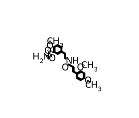 COc1ccc(C=CC(=O)NCCc2ccc(OC)c(S(N)(=O)=O)c2)c(OC)c1